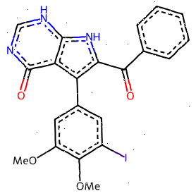 COc1cc(-c2c(C(=O)c3ccccc3)[nH]c3[nH]cnc(=O)c23)cc(I)c1OC